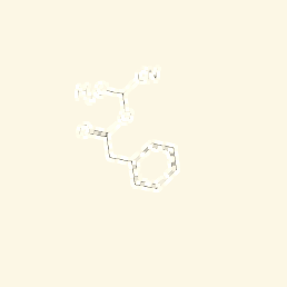 CC(C#N)OC(=O)Cc1ccccc1